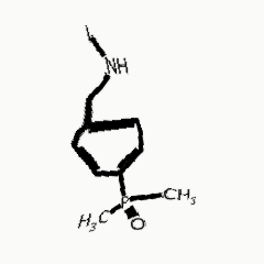 CP(C)(=O)c1ccc(CNI)cc1